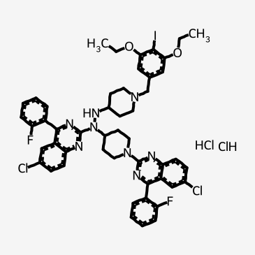 CCOc1cc(CN2CCC(NN(c3nc(-c4ccccc4F)c4cc(Cl)ccc4n3)C3CCN(c4nc(-c5ccccc5F)c5cc(Cl)ccc5n4)CC3)CC2)cc(OCC)c1I.Cl.Cl